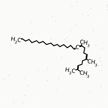 C=CCCCCCCCCCCCCCCC=C=C(C)CCC=C(C)CCC=C(C)C